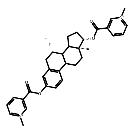 C[n+]1cccc(C(=O)Oc2ccc3c(c2)CCC2C3CC[C@@]3(C)C2CC[C@@H]3OC(=O)c2ccc[n+](C)c2)c1.[I-].[I-]